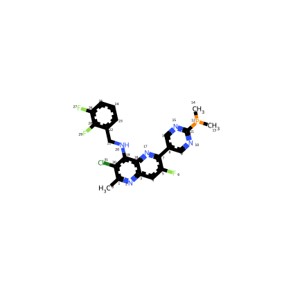 Cc1nc2cc(F)c(-c3cnc(P(C)C)nc3)nc2c(NCc2cccc(F)c2F)c1Cl